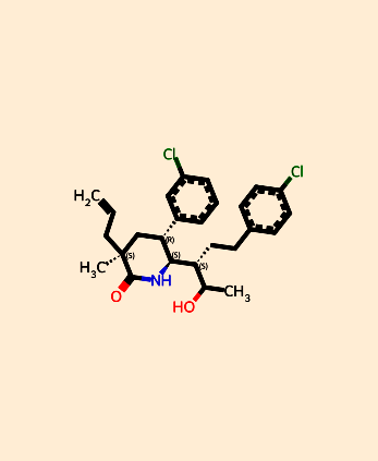 C=CC[C@@]1(C)C[C@H](c2cccc(Cl)c2)[C@@H]([C@H](CCc2ccc(Cl)cc2)C(C)O)NC1=O